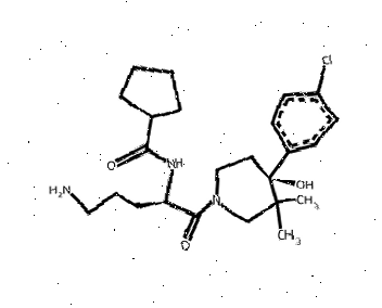 CC1(C)CN(C(=O)[C@@H](CCCN)NC(=O)C2CCCC2)CC[C@]1(O)c1ccc(Cl)cc1